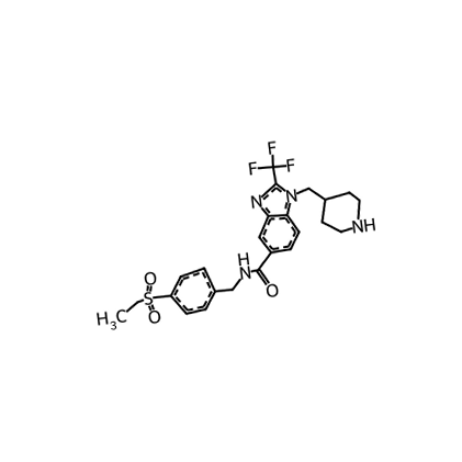 CCS(=O)(=O)c1ccc(CNC(=O)c2ccc3c(c2)nc(C(F)(F)F)n3CC2CCNCC2)cc1